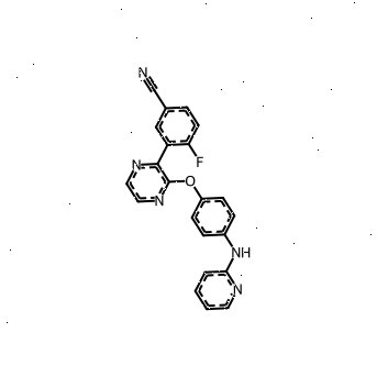 N#Cc1ccc(F)c(-c2nccnc2Oc2ccc(Nc3ccccn3)cc2)c1